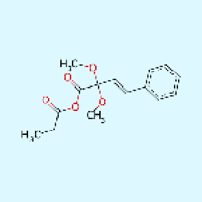 CCC(=O)OC(=O)C(C=Cc1ccccc1)(OC)OC